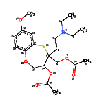 CCN(CC)CCC1(COC(C)=O)Sc2cc(OC)ccc2OCC1OC(C)=O